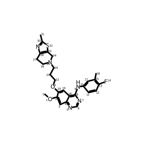 COc1cc2ncnc(Nc3ccc(F)c(C)c3)c2cc1OCCCN1CCc2nc(C)sc2C1